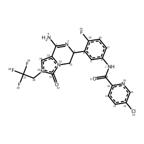 NC1=NC(c2cc(NC(=O)c3ccc(Cl)cn3)ccc2F)Cn2c1cn(CC(F)(F)F)c2=O